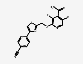 N#Cc1ccc(-c2csc(COc3ncc(F)c(C(N)=O)c3F)n2)cc1